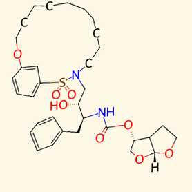 O=C(N[C@@H](Cc1ccccc1)[C@H](O)CN1CCCCCCCCCCOc2cccc(c2)S1(=O)=O)O[C@H]1CO[C@H]2OCCC21